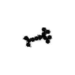 Cc1cccc(-c2cc(-c3ccc(-c4ccc(-c5c(C)cc(-n6c7ccc(N(c8ccccc8)c8ccccc8)cc7c7cc(N(c8ccccc8)c8ccccc8)ccc76)cc5C)cc4)cc3)nc(-c3cccc(C)c3)n2)c1